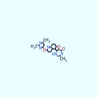 CC1=NC(=O)c2oc3ccc4nc(Oc5cc(C)nc(C)n5)ccc4c3c2NC1